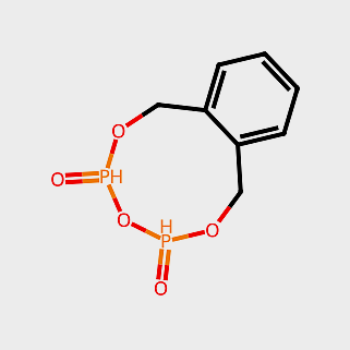 O=[PH]1OCc2ccccc2CO[PH](=O)O1